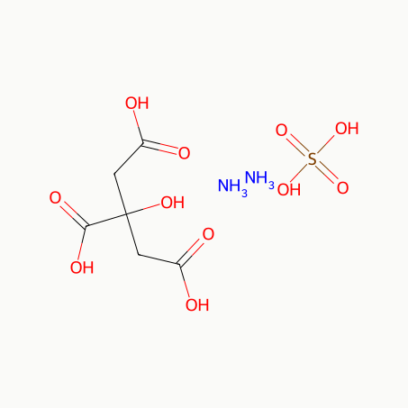 N.N.O=C(O)CC(O)(CC(=O)O)C(=O)O.O=S(=O)(O)O